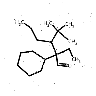 CCCC(C(C)(C)C)C(C=O)(CC)C1CCCCC1